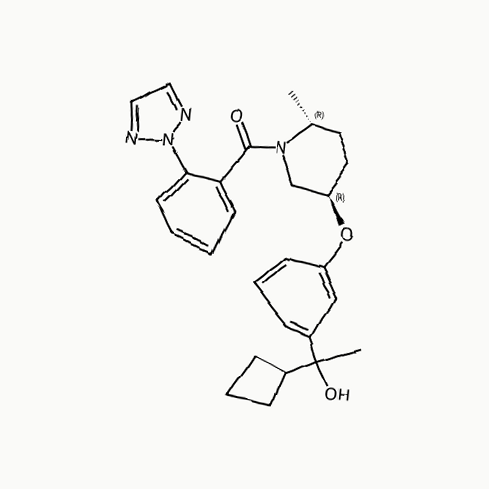 C[C@@H]1CC[C@@H](Oc2cccc(C(C)(O)C3CCC3)c2)CN1C(=O)c1ccccc1-n1nccn1